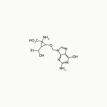 CCC(O)C1C(OCn2cnc3c(O)nc(N)nc32)C1(N)C(=O)O